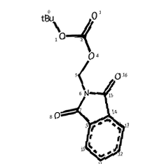 CC(C)(C)OC(=O)OCN1C(=O)c2ccccc2C1=O